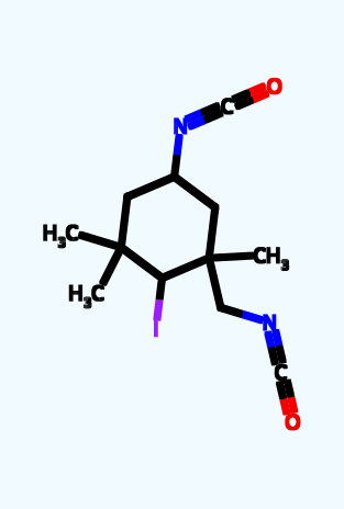 CC1(C)CC(N=C=O)CC(C)(CN=C=O)C1I